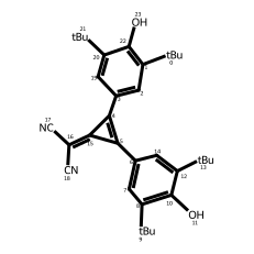 CC(C)(C)c1cc(C2=C(c3cc(C(C)(C)C)c(O)c(C(C)(C)C)c3)C2=C(C#N)C#N)cc(C(C)(C)C)c1O